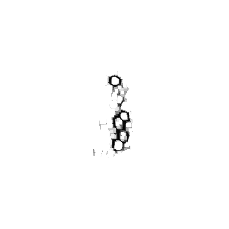 C[C@@]1(O)CC[C@H]2[C@@H](CC[C@@H]3[C@@H]2CC[C@]2(C)[C@@H](C(=O)Cn4nc5ccccc5n4)CC[C@@]32N)C1